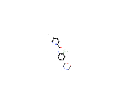 Cl.N#Cc1ccc(C(=O)Nc2ccc([C@H]3CNCCO3)cc2Cl)nc1